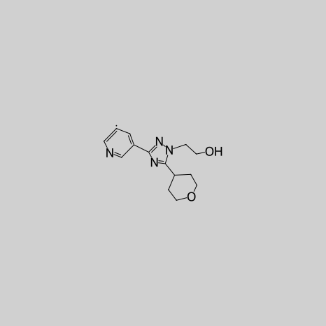 OCCn1nc(-c2c[c]cnc2)nc1C1CCOCC1